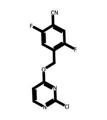 N#Cc1cc(F)c(COc2ccnc(Cl)n2)cc1F